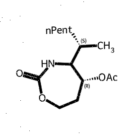 CCCCC[C@H](C)C1NC(=O)OCC[C@H]1OC(C)=O